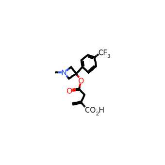 C=C(CC(=O)OC1(c2ccc(C(F)(F)F)cc2)CN(C)C1)C(=O)O